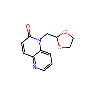 O=c1ccc2nc[c]cc2n1CC1OCCO1